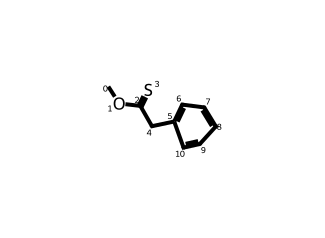 COC(=S)Cc1ccccc1